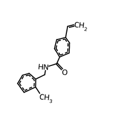 C=Cc1ccc(C(=O)NCc2ccccc2C)cc1